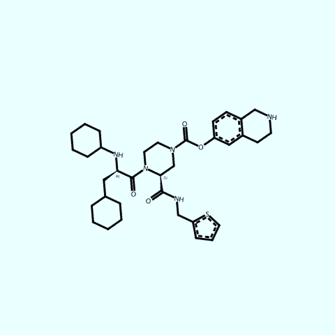 O=C(NCc1cccs1)[C@@H]1CN(C(=O)Oc2ccc3c(c2)CCNC3)CCN1C(=O)[C@@H](CC1CCCCC1)NC1CCCCC1